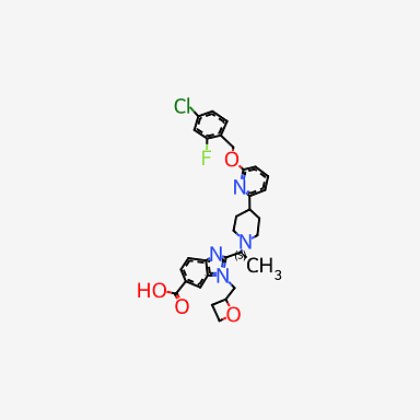 C[C@@H](c1nc2ccc(C(=O)O)cc2n1CC1CCO1)N1CCC(c2cccc(OCc3ccc(Cl)cc3F)n2)CC1